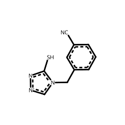 N#Cc1cccc(Cn2cnnc2S)c1